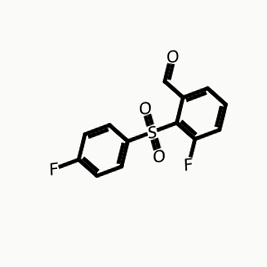 O=Cc1cccc(F)c1S(=O)(=O)c1ccc(F)cc1